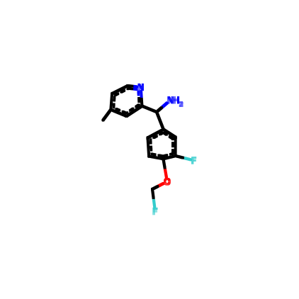 Cc1ccnc(C(N)c2ccc(OCF)c(F)c2)c1